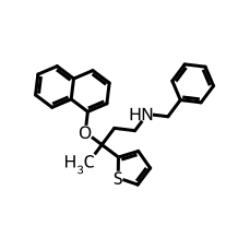 CC(CCNCc1ccccc1)(Oc1cccc2ccccc12)c1cccs1